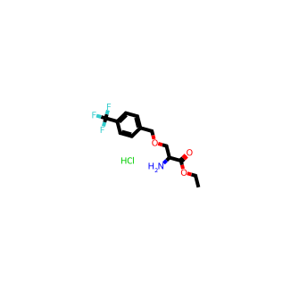 CCOC(=O)C(N)COCc1ccc(C(F)(F)F)cc1.Cl